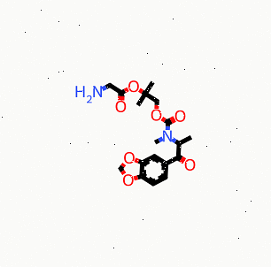 CC(C(=O)c1ccc2c(c1)OCO2)N(C)C(=O)OCC(C)(C)OC(=O)CN